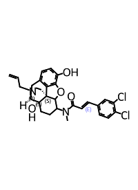 C=CCN1CC[C@]23c4c5ccc(O)c4OC2C(N(C)C(=O)/C=C/c2ccc(Cl)c(Cl)c2)CC[C@@]3(O)[C@H]1C5